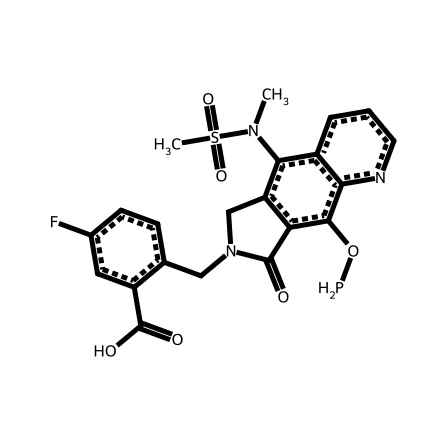 CN(c1c2c(c(OP)c3ncccc13)C(=O)N(Cc1ccc(F)cc1C(=O)O)C2)S(C)(=O)=O